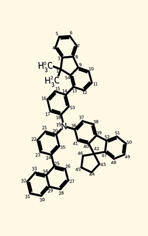 CC1(C)c2ccccc2-c2cccc(-c3cccc(N(c4cccc(-c5cccc6ccccc56)c4)c4ccc5c(c4)C4(CCCC4)c4ccccc4-5)c3)c21